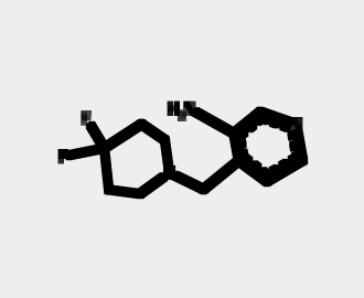 Nc1cnccc1CN1CCC(F)(F)CC1